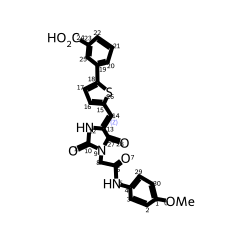 COc1ccc(NC(=O)CN2C(=O)N/C(=C\c3ccc(-c4cccc(C(=O)O)c4)s3)C2=O)cc1